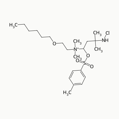 CCCCCCOCC[N+](C)(C)C(CC(C)(C)NCl)OS(=O)(=O)c1ccc(C)cc1